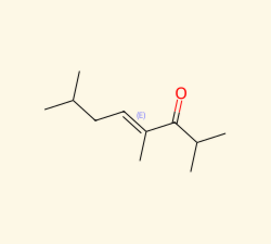 C/C(=C\CC(C)C)C(=O)C(C)C